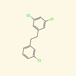 Clc1[c]c(Cl)cc(CCc2cccc(Cl)c2)c1